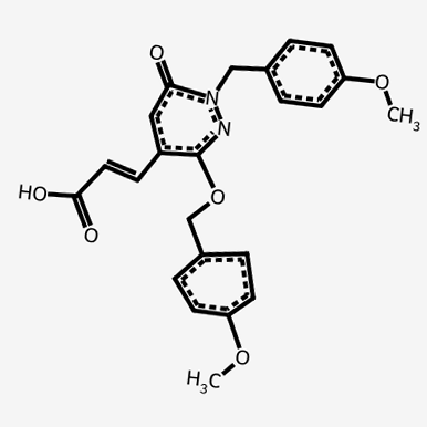 COc1ccc(COc2nn(Cc3ccc(OC)cc3)c(=O)cc2/C=C/C(=O)O)cc1